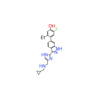 CCc1cc(O)c(F)cc1-c1ccc2c(-c3nc(CNCC4CC4)c[nH]3)n[nH]c2c1